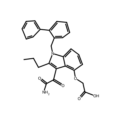 CCCc1c(C(=O)C(N)=O)c2c(OCC(=O)O)cccc2n1Cc1ccccc1-c1ccccc1